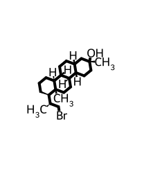 C[C@@H](CBr)[C@H]1CCC[C@H]2[C@@H]3CC[C@@H]4C[C@](C)(O)CC[C@@H]4[C@H]3CC[C@]12C